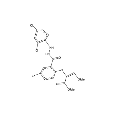 COC=C(Oc1ccc(Cl)cc1C(=O)NNc1ccc(Cl)cc1Cl)C(=O)OC